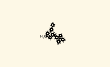 CC1(C)c2ccccc2-c2c(N(c3ccc(-c4ccccc4)cc3)c3ccc4c(c3)sc3cc(C5(c6ccccc6)c6ccccc6-c6ccccc65)ccc34)cccc21